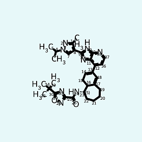 Cc1nn(C(C)C)cc1-c1nc2c(C3=CCC4C(=C3)CCCC[C@@H]4NC(=O)c3noc(C(C)(C)C)n3)ccnc2[nH]1